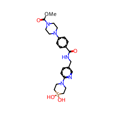 COC(=O)N1CCN(c2ccc(C(=O)NCc3ccc(N4CCS(O)(O)CC4)nc3)cc2)CC1